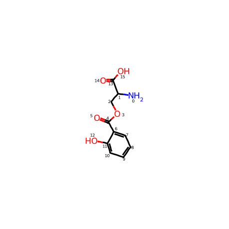 NC(COC(=O)c1ccccc1O)C(=O)O